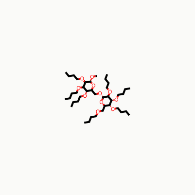 CCCCOCC1O[C@H](OCC2O[C@H](OC)C(OCCCC)C(OCCCC)[C@@H]2OCCCC)C(OCCCC)[C@@H](OCCCC)[C@@H]1OCCCC